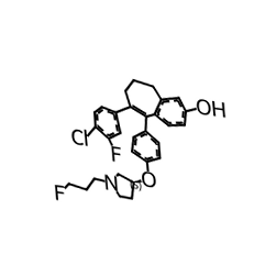 Oc1ccc2c(c1)CCCC(c1ccc(Cl)c(F)c1)=C2c1ccc(O[C@H]2CCN(CCCF)C2)cc1